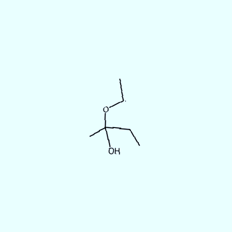 C[CH]OC(C)(O)CC